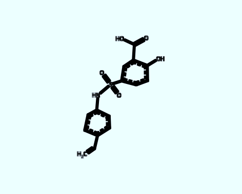 C=Cc1ccc(NS(=O)(=O)c2ccc(O)c(C(=O)O)c2)cc1